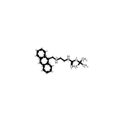 CC(C)(C)OC(=O)NCCNCc1c2ccccc2cc2ccccc12